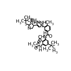 COc1c(NC(=O)c2ccc(C)c(N3C=C(C4CN=C(SC(C)(C)C)N4C)NN3)c2)cc(C(C)(C)C)cc1NS(C)(=O)=O